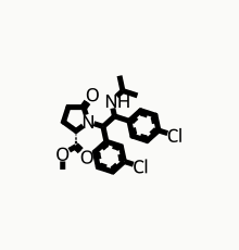 COC(=O)[C@@H]1CCC(=O)N1C(c1cccc(Cl)c1)C(NC(C)C)c1ccc(Cl)cc1